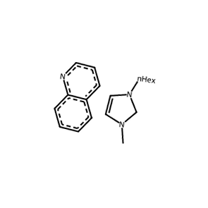 CCCCCCN1C=CN(C)C1.c1ccc2ncccc2c1